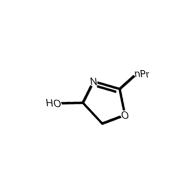 CCCC1=NC(O)CO1